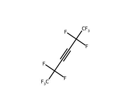 FC(F)(F)C(F)(F)C#CC(F)(F)C(F)(F)F